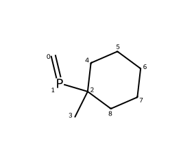 C=PC1(C)CCCCC1